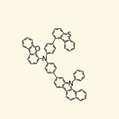 c1ccc(-n2c3cc(-c4ccc(N(c5ccc(-c6cccc7sc8ccccc8c67)cc5)c5cccc6c5oc5ccccc56)cc4)ccc3c3ccc4ccccc4c32)cc1